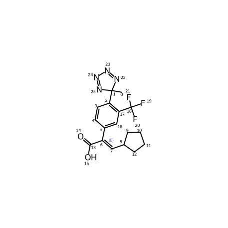 CC1(c2ccc(/C(=C\C3CCCC3)C(=O)O)cc2C(F)(F)F)N=NN=N1